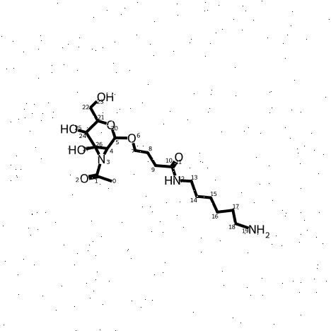 CC(=O)N1C2C(OCCCC(=O)NCCCCCCN)OC(CO)C(O)C21O